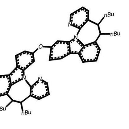 CCCCC1c2cccnc2-n2c3cc(Oc4ccc5c6cccc7c6n(c5c4)-c4ncccc4C(CCCC)C7CCCC)ccc3c3cccc(c32)C1CCCC